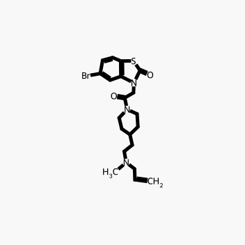 C=CCN(C)CCC1CCN(C(=O)Cn2c(=O)sc3ccc(Br)cc32)CC1